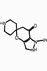 CC(C)N1NCC2=C1C(=O)CC1(CCNCC1)O2